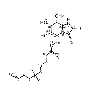 CC(C)(CCC=O)SSCCC(=O)OC[C@@H]1[C@@H](O)[C@H](O)[C@H](O)[C@H]2NC(=O)C(=O)N12